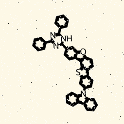 c1ccc(C2=NC(c3ccc4c(c3)oc3ccc5c6ccc(-n7c8ccccc8c8ccccc87)cc6sc5c34)NC(c3ccccc3)=N2)cc1